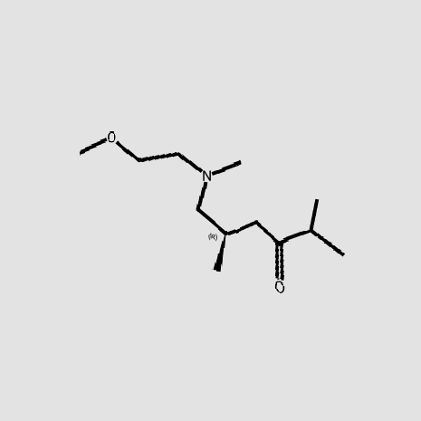 COCCN(C)C[C@H](C)CC(=O)C(C)C